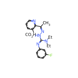 CCN(CC)C(=Nc1cccc(F)c1)NN=C(C)c1ncccc1C(=O)O